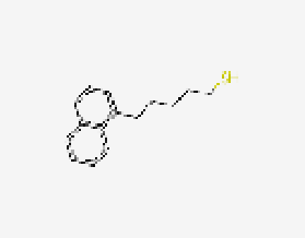 SCCCCCc1cccc2ccccc12